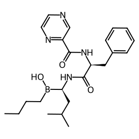 CCCCB(O)[C@H](CC(C)C)NC(=O)[C@H](Cc1ccccc1)NC(=O)c1cnccn1